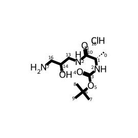 C[C@H](NC(=O)OC(C)(C)C)C(=O)NCC(O)CN.Cl